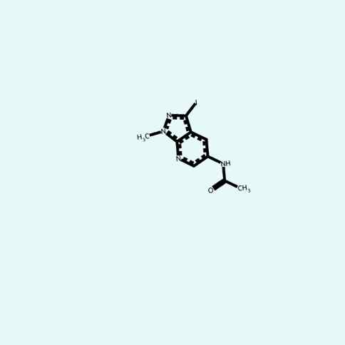 CC(=O)Nc1cnc2c(c1)c(I)nn2C